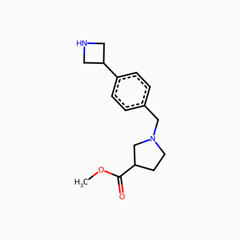 COC(=O)C1CCN(Cc2ccc(C3CNC3)cc2)C1